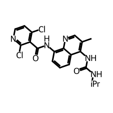 Cc1cnc2c(NC(=O)c3c(Cl)ccnc3Cl)cccc2c1NC(=O)NC(C)C